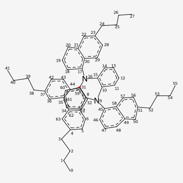 CCCCc1ccc2c(N(c3ccccc3N(c3cccc4cc(CCCC)ccc34)c3cccc4cc(CCCC)ccc34)c3cccc4cc(CCCC)ccc34)cccc2c1